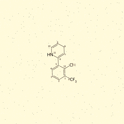 FC(F)(F)c1cccc(C2=CCC=CN2)c1Cl